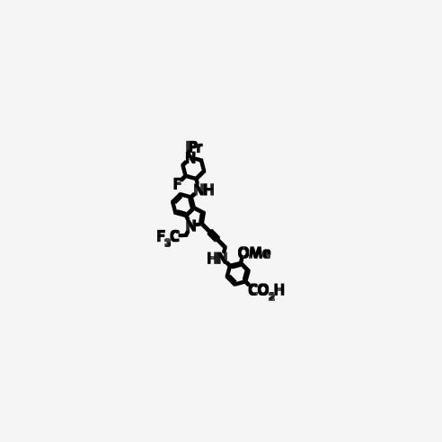 COc1cc(C(=O)O)ccc1NCC#Cc1cc2c(NC3CCN(C(C)C)CC3F)cccc2n1CC(F)(F)F